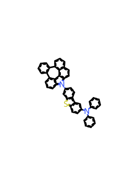 c1ccc(N(c2ccccc2)c2ccc3sc4cc(-n5c6cccc7c6c6c8c(cccc8ccc65)-c5ccccc5-7)ccc4c3c2)cc1